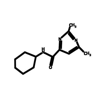 Cc1cc(C(=O)NC2CCCCC2)nc(C)n1